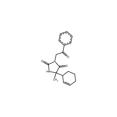 CC1(C2C=CCCC2)NC(=O)N(CC(=O)c2ccccc2)C1=O